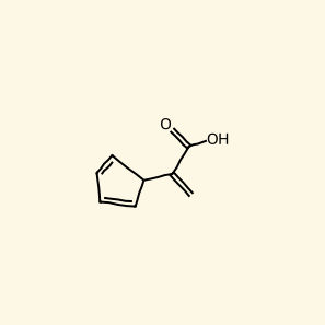 C=C(C(=O)O)C1C=CC=C1